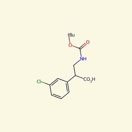 CC(C)(C)OC(=O)NCC(C(=O)O)c1cccc(Cl)c1